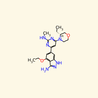 CCOc1cc(-c2cc(N3CCOC[C@H]3CC)nc(NC)n2)cc2[nH]nc(N)c12